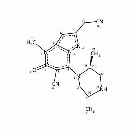 C[C@@H]1CN(c2c(C#N)c(=O)n(C)c3cc(CC#N)nn23)[C@@H](C)CN1